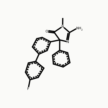 CN1C(=O)C(c2ccccc2)(c2cccc(-c3ccc(F)cc3)c2)N=C1N